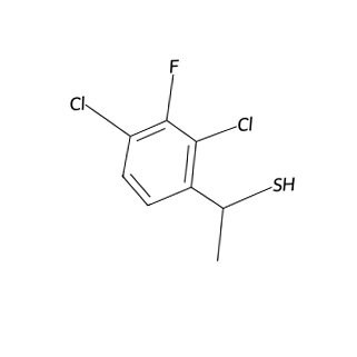 CC(S)c1ccc(Cl)c(F)c1Cl